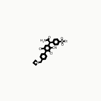 CCS(=O)(=O)c1ccc(C(C(N)=O)c2cc(Cl)c(-c3ccc(CN4CCC4)cc3)c(Cl)c2C#N)cc1